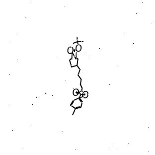 Cc1ccc(S(=O)(=O)CCCCCC2CCN(C(=O)OC(C)(C)C)C2)cc1